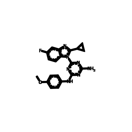 COc1ccc(Nc2nc(N)nc(-n3c(C4CC4)nc4cc(F)ccc43)n2)cc1